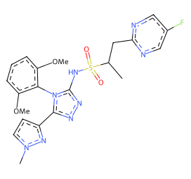 COc1cccc(OC)c1-n1c(NS(=O)(=O)C(C)Cc2ncc(F)cn2)nnc1-c1ccn(C)n1